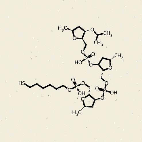 CC(C)O[C@H]1C[C@H](C)O[C@@H]1COP(=O)(O)O[C@H]1C[C@H](C)O[C@@H]1COP(=O)(O)O[C@H]1C[C@H](C)O[C@@H]1COP(=O)(O)OCCCCCCS